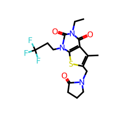 CCn1c(=O)c2c(C)c(CN3CCCC3=O)sc2n(CCC(F)(F)F)c1=O